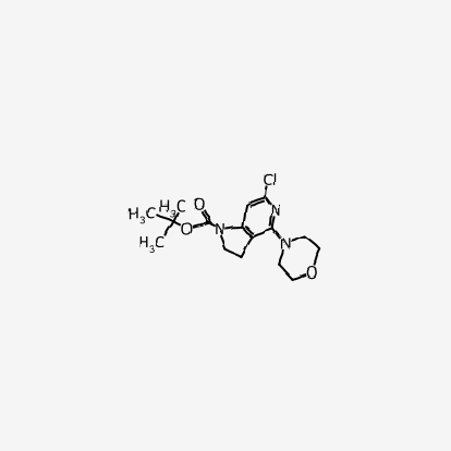 CC(C)(C)OC(=O)N1CCc2c1cc(Cl)nc2N1CCOCC1